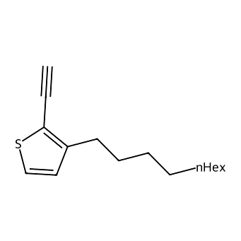 C#Cc1sccc1CCCCCCCCCC